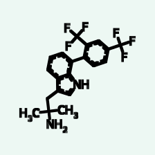 CC(C)(N)Cc1c[nH]c2c(-c3ccc(C(F)(F)F)cc3C(F)(F)F)cccc12